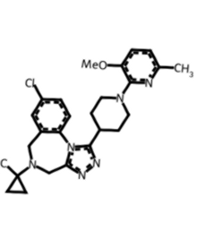 COc1ccc(C)nc1N1CCC(c2nnc3n2-c2ccc(Cl)cc2CN(C2(C(F)(F)F)CC2)C3)CC1